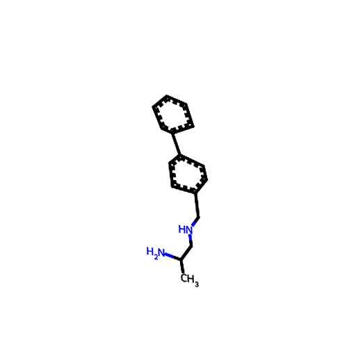 CC(N)CNCc1ccc(-c2ccccc2)cc1